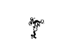 COc1cc([N+](=O)[O-])n(COCC[Si](C)(C)C)n1